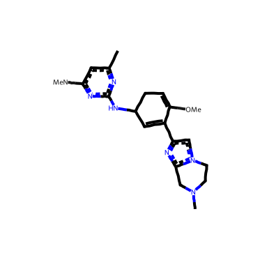 CNc1cc(C)nc(NC2C=C(c3cn4c(n3)CN(C)CC4)C(OC)=CC2)n1